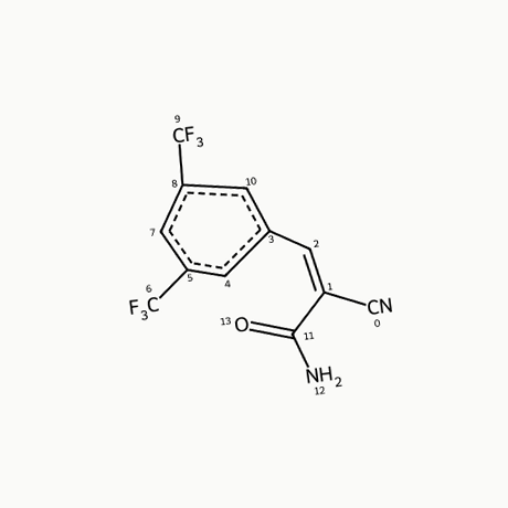 N#CC(=Cc1cc(C(F)(F)F)cc(C(F)(F)F)c1)C(N)=O